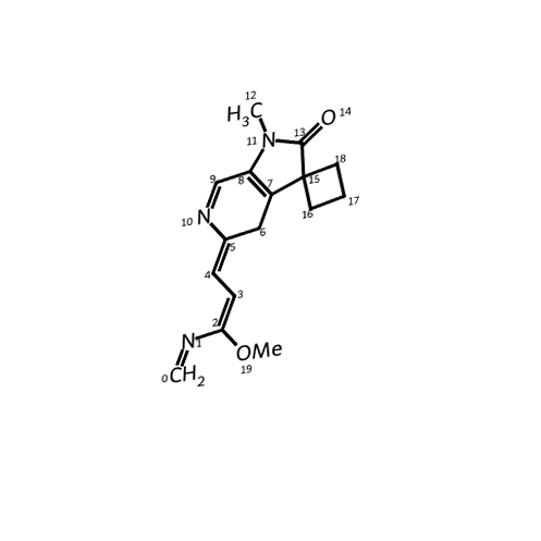 C=N/C(=C\C=C1/CC2=C(C=N1)N(C)C(=O)C21CCC1)OC